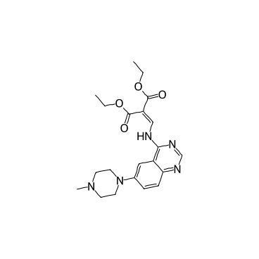 CCOC(=O)C(=CNc1ncnc2ccc(N3CCN(C)CC3)cc12)C(=O)OCC